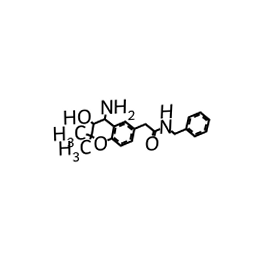 CC1(C)Oc2ccc(CC(=O)NCc3ccccc3)cc2C(N)C1O